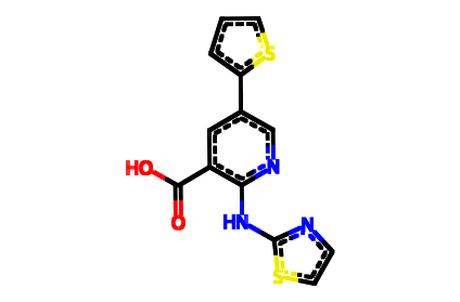 O=C(O)c1cc(-c2cccs2)cnc1Nc1nccs1